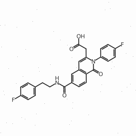 O=C(O)Cc1cc2cc(C(=O)NCCc3ccc(F)cc3)ccc2c(=O)n1-c1ccc(F)cc1